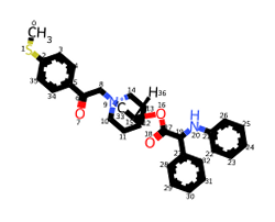 CSc1ccc(C(=O)C[N+]23CCC(CC2)[C@@H](OC(=O)C(Nc2ccccc2)c2ccccc2)C3)cc1